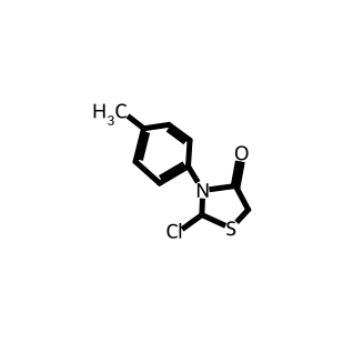 Cc1ccc(N2C(=O)CSC2Cl)cc1